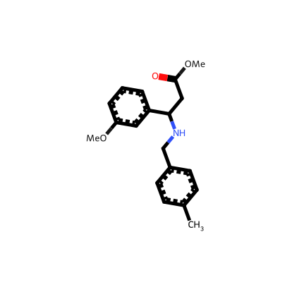 COC(=O)CC(NCc1ccc(C)cc1)c1cccc(OC)c1